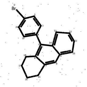 Brc1ccc(-c2c3c(cc4ccccc24)CCCC3)cc1